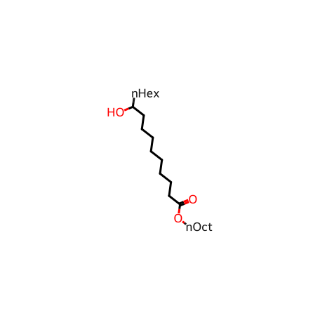 CCCCCCCCOC(=O)CCCCCCCCC(O)CCCCCC